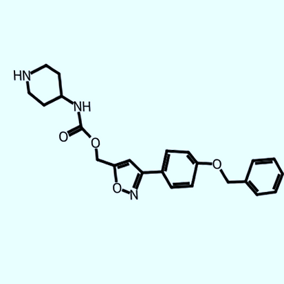 O=C(NC1CCNCC1)OCc1cc(-c2ccc(OCc3ccccc3)cc2)no1